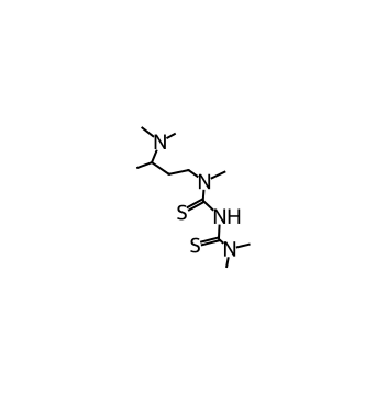 CC(CCN(C)C(=S)NC(=S)N(C)C)N(C)C